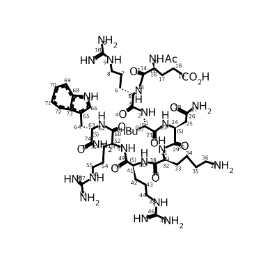 CC[C@H](C)[C@H](NC(=O)[C@H](CCCNC(=N)N)NC(=O)[C@H](CCC(=O)O)NC(C)=O)C(=O)N[C@@H](CC(N)=O)C(=O)N[C@@H](CCCCN)C(=O)N[C@@H](CCCNC(=N)N)C(=O)N[C@@H](CCCNC(=N)N)C(=O)N[C@@H](Cc1c[nH]c2ccccc12)C(N)=O